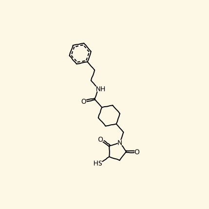 O=C(NCCc1ccccc1)C1CCC(CN2C(=O)CC(S)C2=O)CC1